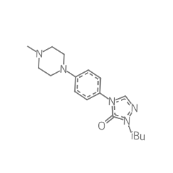 CCC(C)n1ncn(-c2ccc(N3CCN(C)CC3)cc2)c1=O